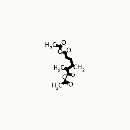 C=C(CCC(=O)OC(C)=O)C(=C)C(=O)OC(C)=O